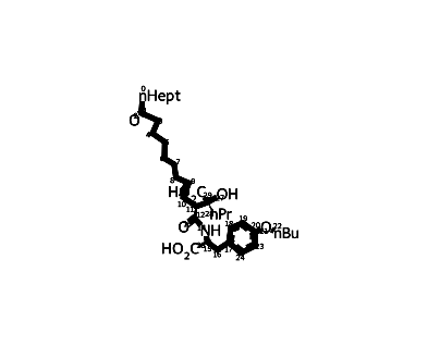 CCCCCCCC(=O)CCCCCC/C=C/[C@H](C(=O)N[C@@H](Cc1ccc(OCCCC)cc1)C(=O)O)[C@@](O)(CCC)C(=O)O